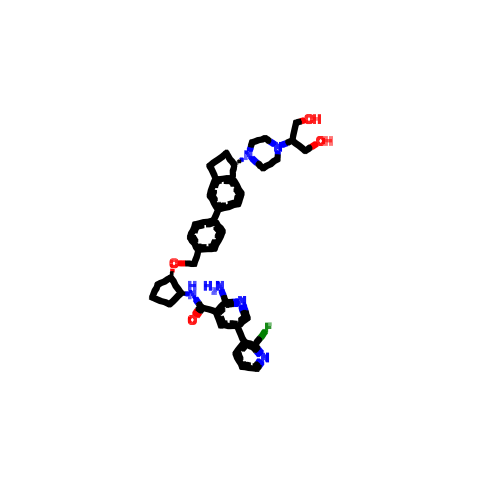 Nc1ncc(-c2cccnc2F)cc1C(=O)N[C@H]1CCC[C@@H]1OCc1ccc(-c2ccc3c(c2)CC[C@@H]3N2CCN(C(CO)CO)CC2)cc1